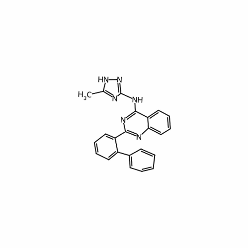 Cc1nc(Nc2nc(-c3ccccc3-c3ccccc3)nc3ccccc23)n[nH]1